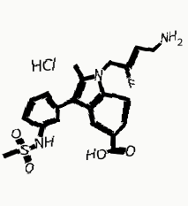 Cc1c(-c2cccc(NS(C)(=O)=O)c2)c2cc(C(=O)O)ccc2n1C/C(F)=C/CN.Cl